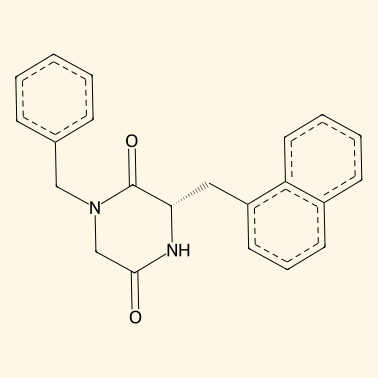 O=C1CN(Cc2ccccc2)C(=O)[C@H](Cc2cccc3ccccc23)N1